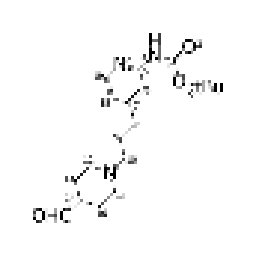 CC(C)(C)OC(=O)Nc1cc(CCCN2CCC(C=O)CC2)ccn1